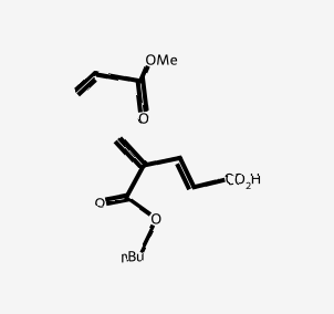 C=C(C=CC(=O)O)C(=O)OCCCC.C=CC(=O)OC